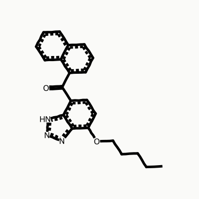 CCCCCOc1ccc(C(=O)c2cccc3ccccc23)c2[nH]nnc12